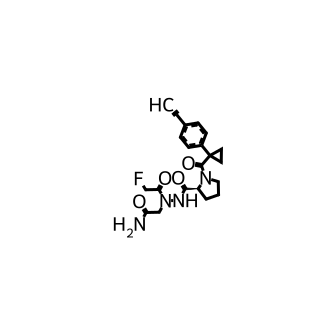 C#Cc1ccc(C2(C(=O)N3CCC[C@H]3C(=O)NN(CC(N)=O)C(=O)CF)CC2)cc1